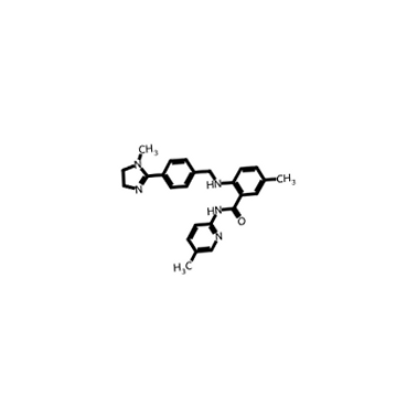 Cc1ccc(NC(=O)c2cc(C)ccc2NCc2ccc(C3=NCCN3C)cc2)nc1